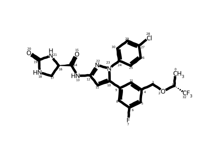 C[C@@H](OCc1cc(F)cc(-c2cc(NC(=O)[C@H]3CNC(=O)N3)nn2-c2ccc(Cl)cc2)c1)C(F)(F)F